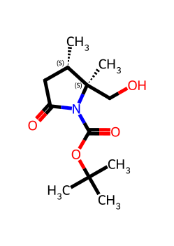 C[C@H]1CC(=O)N(C(=O)OC(C)(C)C)[C@]1(C)CO